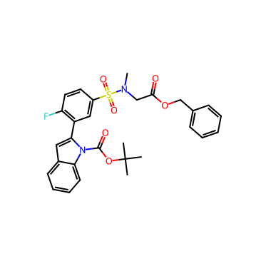 CN(CC(=O)OCc1ccccc1)S(=O)(=O)c1ccc(F)c(-c2cc3ccccc3n2C(=O)OC(C)(C)C)c1